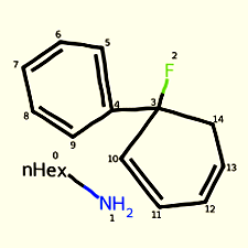 CCCCCCN.FC1(c2ccccc2)C=CC=CC1